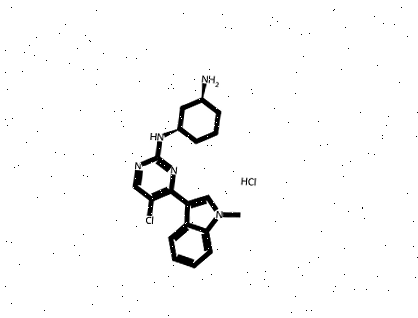 Cl.Cn1cc(-c2nc(N[C@@H]3CCC[C@H](N)C3)ncc2Cl)c2ccccc21